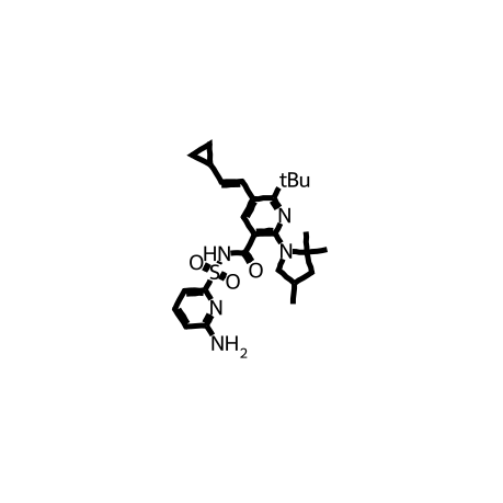 CC1CN(c2nc(C(C)(C)C)c(C=CC3CC3)cc2C(=O)NS(=O)(=O)c2cccc(N)n2)C(C)(C)C1